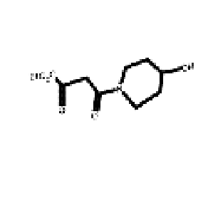 CCOC(=O)C(=O)CC(=O)N1CCC(O)CC1